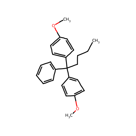 CCCCC(c1ccccc1)(c1ccc(OC)cc1)c1ccc(OC)cc1